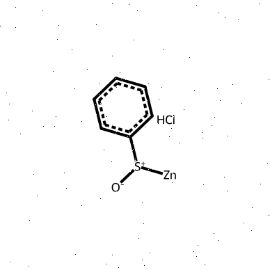 Cl.[O-][S+]([Zn])c1ccccc1